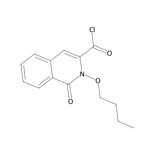 CCCCOn1c(C(=O)Cl)cc2ccccc2c1=O